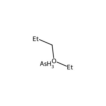 CCCOCC.[AsH3]